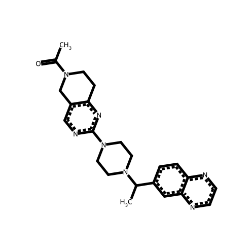 CC(=O)N1CCc2nc(N3CCN(C(C)c4ccc5nccnc5c4)CC3)ncc2C1